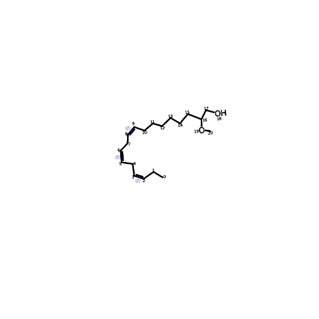 CC/C=C\C/C=C\C/C=C\CCCCCCC(CO)OC